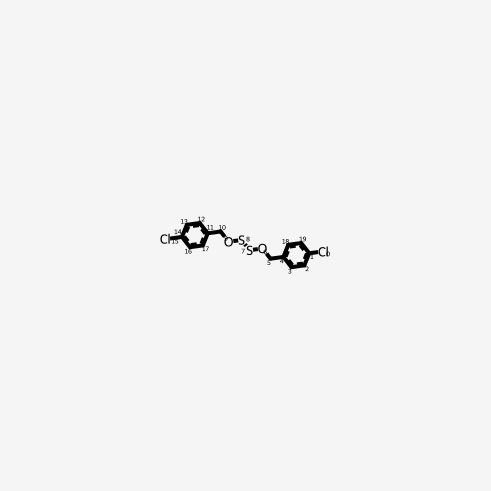 Clc1ccc(COSSOCc2ccc(Cl)cc2)cc1